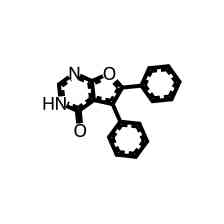 O=c1[nH]cnc2oc(-c3ccccc3)c(-c3ccccc3)c12